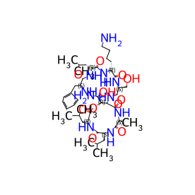 CC(C)C[C@@H]1NC(=O)[C@H](C)NC(=O)C(NC(=O)[C@H](CO)NC(=O)[C@@H](CCCCN)NC(=O)[C@@H](CC(C)C)NC(=O)[C@@H](N)Cc2ccccc2)[C@H](C(N)O)OC(=O)[C@H](CC(C)C)NC1=O